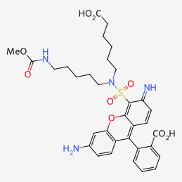 COC(=O)NCCCCCN(CCCCCC(=O)O)S(=O)(=O)c1c2oc3cc(N)ccc3c(-c3ccccc3C(=O)O)c-2ccc1=N